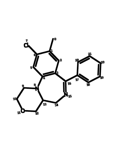 Cc1cc2c(cc1Cl)N1CCOCC1CN=C2c1ccccc1